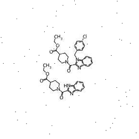 CCOC(=O)C1CCN(C(=O)c2nc3ccccc3[nH]2)CC1.CCOC(=O)C1CCN(C(=O)c2nc3ccccc3n2Cc2ccc(Cl)cc2)CC1